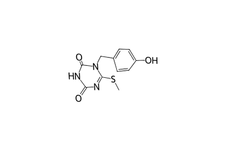 CSc1nc(=O)[nH]c(=O)n1Cc1ccc(O)cc1